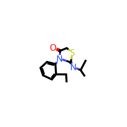 CCc1ccccc1N1C(=O)CSC1=NC(C)C